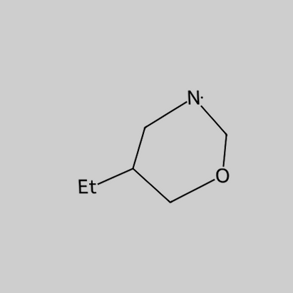 CCC1C[N]COC1